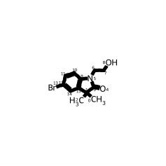 CC1(C)C(=O)N(CCO)c2ccc(Br)cc21